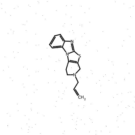 C=CCN1CCc2c(sc3nc4ccccc4n23)C1